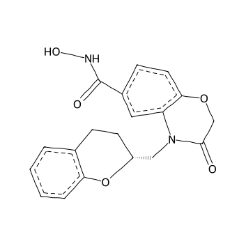 O=C(NO)c1ccc2c(c1)N(C[C@H]1CCc3ccccc3O1)C(=O)CO2